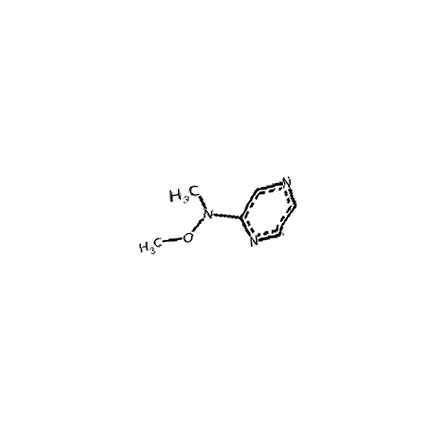 CON(C)c1cnc[c]n1